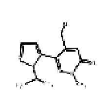 CC(C)n1nccc1-c1nn(C)c(=O)cc1CCl